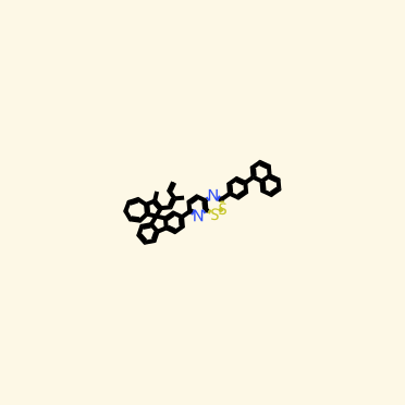 C=C/C(C)=C\C1=C(C)C2=C(C=CCC=C2)C12c1ccccc1-c1ccc(-c3ccc4c(n3)SSC(c3ccc(-c5cccc6ccccc56)cc3)=N4)cc12